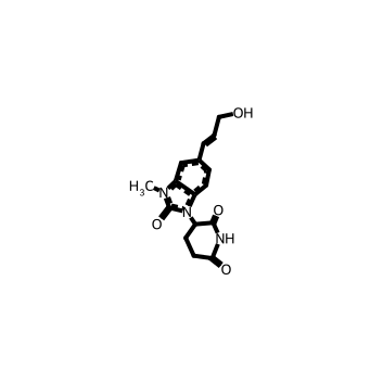 Cn1c(=O)n(C2CCC(=O)NC2=O)c2ccc(C=CCO)cc21